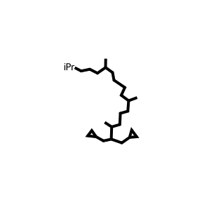 CC(C)CCCC(C)CCCCC(C)CCCC(C)C(CC1CC1)CC1CC1